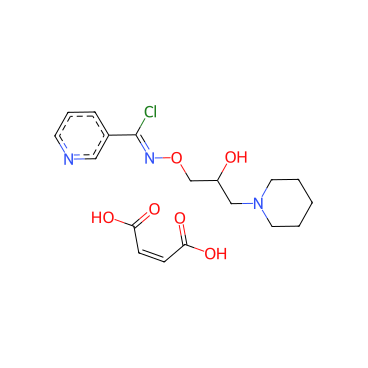 O=C(O)/C=C\C(=O)O.OC(CO/N=C(\Cl)c1cccnc1)CN1CCCCC1